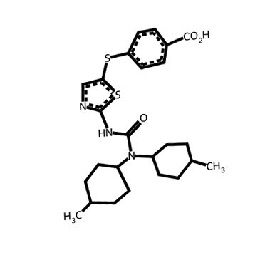 CC1CCC(N(C(=O)Nc2ncc(Sc3ccc(C(=O)O)cc3)s2)C2CCC(C)CC2)CC1